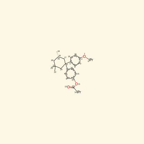 CC(C)Oc1ccc(C2(c3ccc(OC(=O)C(C)C)cc3)C[C@@H](C)CC(C)(C)C2)cc1